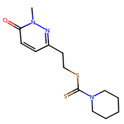 Cn1nc(CCSC(=S)N2CCCCC2)ccc1=O